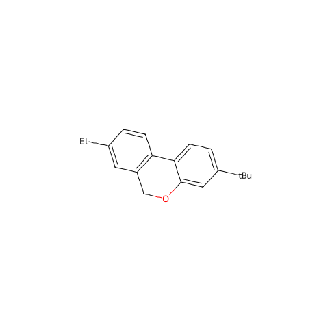 CCc1ccc2c(c1)COc1cc(C(C)(C)C)ccc1-2